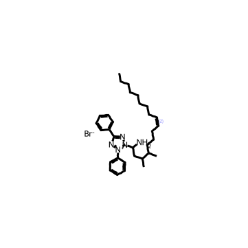 CCCCCCCC/C=C\CCCC(C)C(C)CC(N)n1nc(-c2ccccc2)n[n+]1-c1ccccc1.[Br-]